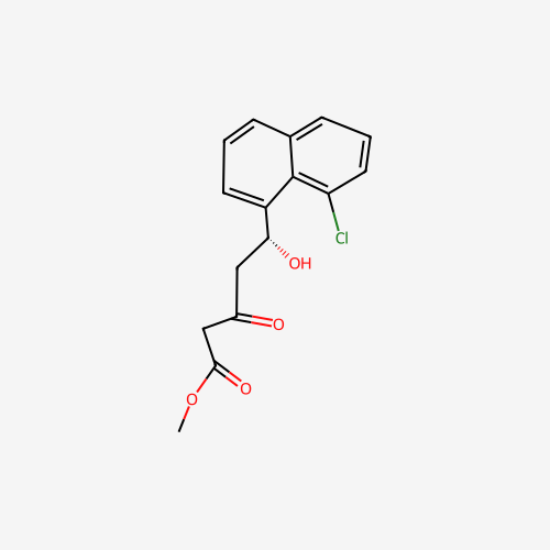 COC(=O)CC(=O)C[C@@H](O)c1cccc2cccc(Cl)c12